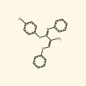 CC(=COc1ccccc1)C(=Nc1ccccc1)Sc1ccc(Cl)cc1